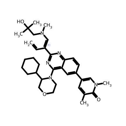 C=C/C(=C\N(C)CC(C)(C)O)c1nc(N2CCOCC2C2CCCCC2)c2cc(-c3cc(C)c(=O)n(C)c3)ccc2n1